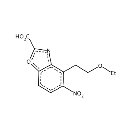 CCOCCc1c([N+](=O)[O-])ccc2oc(C(=O)O)nc12